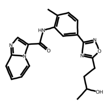 Cc1ccc(-c2noc(CCC(C)O)n2)cc1NC(=O)c1cnc2ccccn12